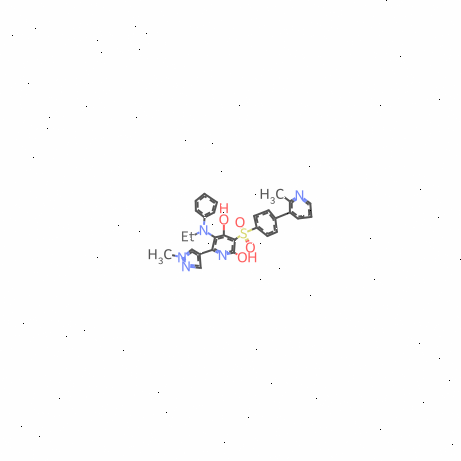 CCN(c1ccccc1)c1c(-c2cnn(C)c2)nc(O)c(S(=O)(=O)c2ccc(-c3cccnc3C)cc2)c1O